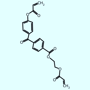 C=CC(=O)OCCOC(=O)c1ccc(C(=O)c2ccc(OC(=O)C=C)cc2)cc1